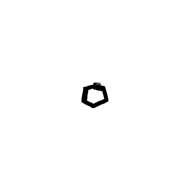 C1=C[S+]=CCC1